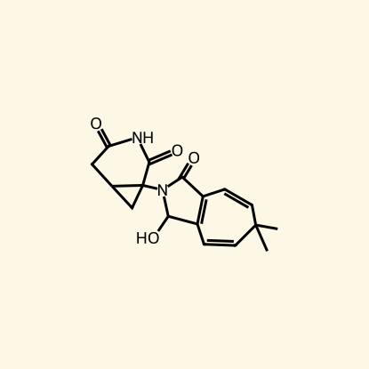 CC1(C)C=CC2=C(C=C1)C(O)N(C13CC1CC(=O)NC3=O)C2=O